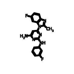 Cc1nc2ccc(F)cc2n1-c1cc(N)nc(Nc2cccc(F)c2)n1